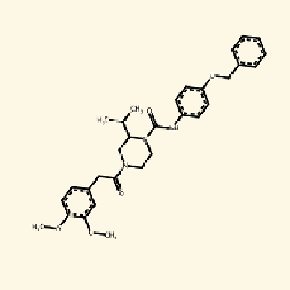 COc1ccc(CC(=O)N2CCN(C(=O)Nc3ccc(OCc4ccccc4)cc3)C(C(C)C)C2)cc1OC